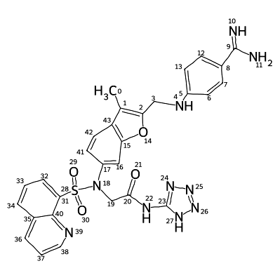 Cc1c(CNc2ccc(C(=N)N)cc2)oc2cc(N(CC(=O)Nc3nnn[nH]3)S(=O)(=O)c3cccc4cccnc34)ccc12